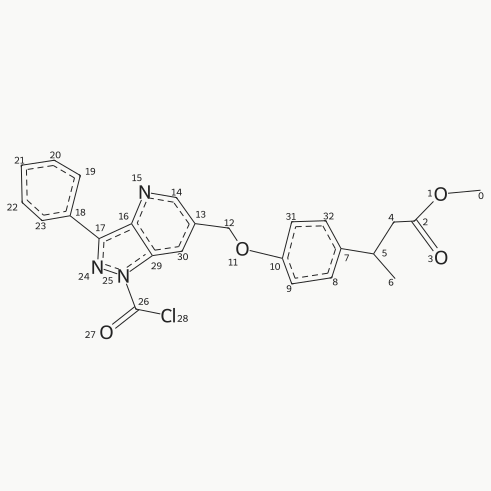 COC(=O)CC(C)c1ccc(OCc2cnc3c(-c4ccccc4)nn(C(=O)Cl)c3c2)cc1